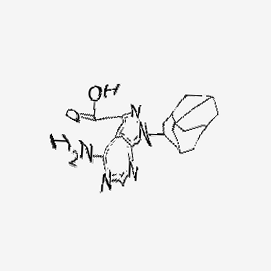 Nc1ncnc2c1c(C(=O)O)nn2C1C2CC3CC(C2)CC1C3